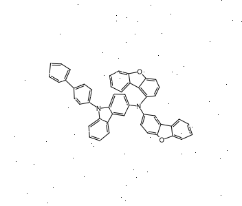 c1ccc(-c2ccc(-n3c4ccccc4c4cc(N(c5ccc6oc7ccccc7c6c5)c5cccc6oc7ccccc7c56)ccc43)cc2)cc1